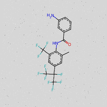 Cc1cc(C(F)(C(F)(F)F)C(F)(F)F)cc(C(F)(F)F)c1NC(=O)c1cccc(N)c1